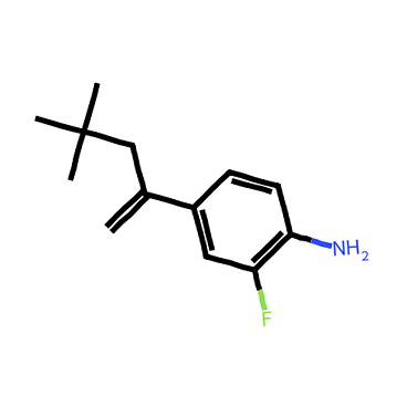 C=C(CC(C)(C)C)c1ccc(N)c(F)c1